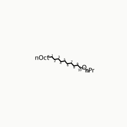 CCCCCCCCCCCCCCCCC[CH]OCCC